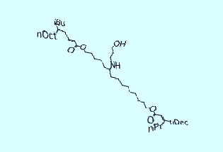 CCCCCCCCCC/C(=C/C(=O)OCCCCCCCCCC(CCCCCOC(=O)/C=C/CC(CCCCCCCC)C(C)CC)NCCCO)CCC